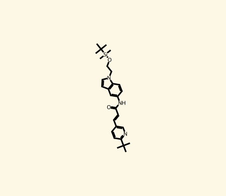 CC(C)(C)c1ccc(/C=C/C(=O)Nc2ccc3c(ccn3CCO[Si](C)(C)C(C)(C)C)c2)cn1